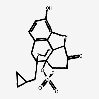 O=C1CCC2(OS(=O)(=O)F)C3Cc4ccc(O)c5c4[C@@]2(CCN3CC2CC2)[C@H]1O5